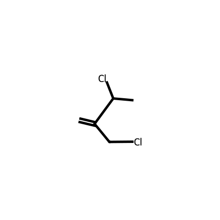 C=C(CCl)C(C)Cl